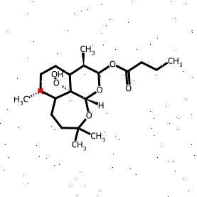 CCCC(=O)OC1O[C@@H]2OC(C)(C)CC[C@H]3[C@H](C)CCC([C@H]1C)[C@@]23OO